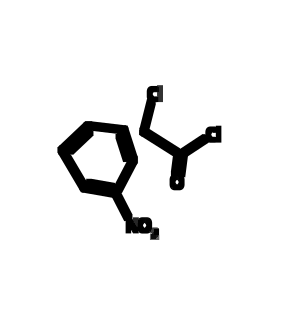 O=C(Cl)CCl.O=[N+]([O-])c1ccccc1